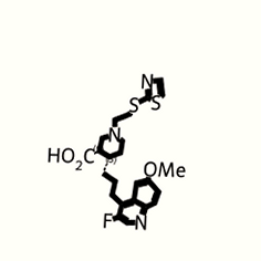 COc1ccc2ncc(F)c(CCC[C@H]3CCN(CCSc4nccs4)C[C@H]3C(=O)O)c2c1